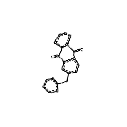 O=C1c2ccccc2C(=O)c2cc(Cc3ccccc3)ccc21